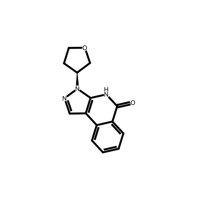 O=c1[nH]c2c(cnn2[C@H]2CCOC2)c2ccccc12